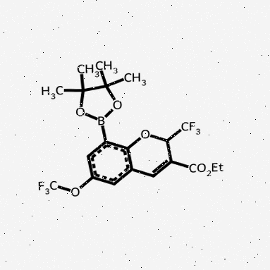 CCOC(=O)C1=Cc2cc(OC(F)(F)F)cc(B3OC(C)(C)C(C)(C)O3)c2OC1C(F)(F)F